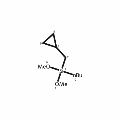 CCCC[Si](CC1CC1)(OC)OC